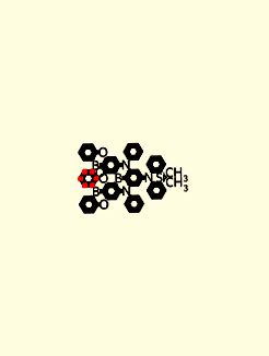 C[Si]1(C)c2ccccc2N(c2cc3c4c(c2)N(c2ccccc2)c2cc5c6c(c2B4c2c(cc4c7c2Oc2ccccc2B7c2ccccc2O4)N3c2ccccc2)Oc2ccccc2B6c2ccccc2O5)c2ccccc21